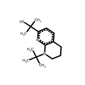 CC(C)(S)c1ccc2c(n1)N(C(C)(C)C)CCC2